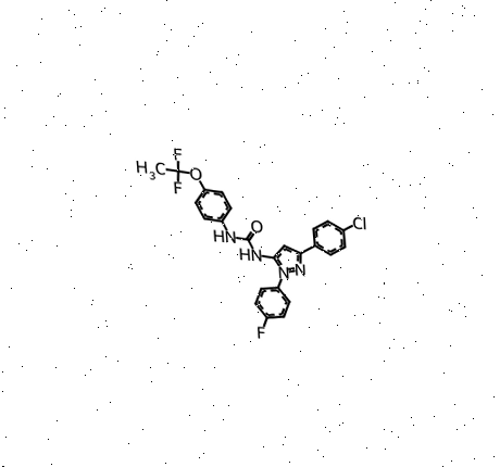 CC(F)(F)Oc1ccc(NC(=O)Nc2cc(-c3ccc(Cl)cc3)nn2-c2ccc(F)cc2)cc1